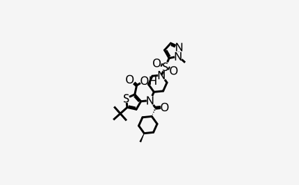 Cn1nccc1S(=O)(=O)N1CCC(N(c2cc(C(C)(C)C)sc2C(=O)O)C(=O)[C@H]2CC[C@H](C)CC2)CC1